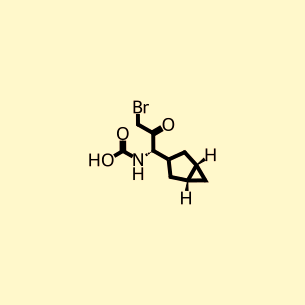 O=C(O)N[C@H](C(=O)CBr)C1C[C@@H]2C[C@@H]2C1